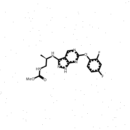 COC(=O)NC[C@@H](C)Nc1n[nH]c2nc(Oc3ccc(F)cc3F)ncc12